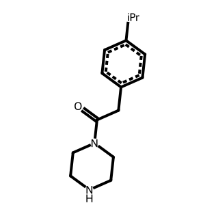 CC(C)c1ccc(CC(=O)N2CCNCC2)cc1